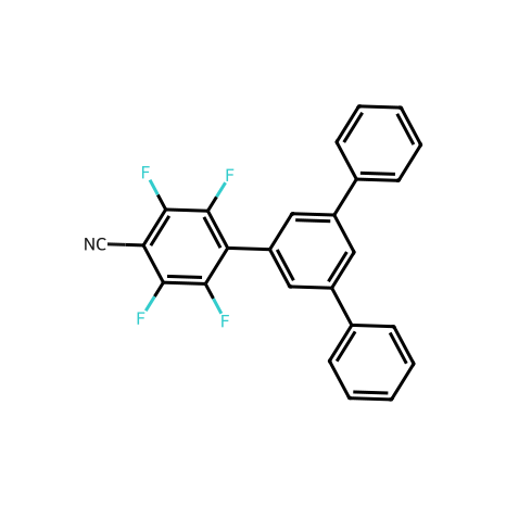 N#Cc1c(F)c(F)c(-c2cc(-c3ccccc3)cc(-c3ccccc3)c2)c(F)c1F